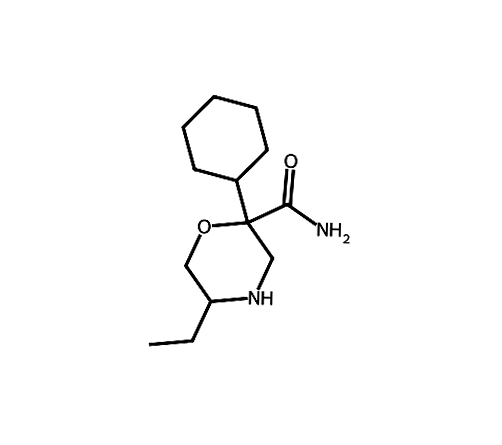 CCC1COC(C(N)=O)(C2CCCCC2)CN1